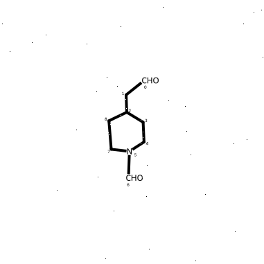 O=CCC1CCN(C=O)CC1